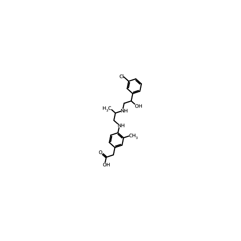 Cc1cc(CC(=O)O)ccc1NCC(C)NCC(O)c1cccc(Cl)c1